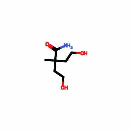 CC(CCO)(CCO)C(N)=O